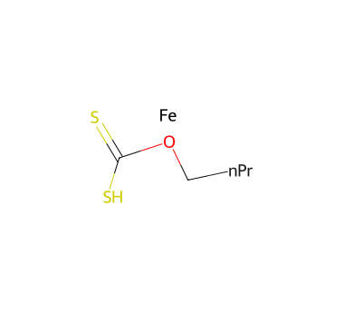 CCCCOC(=S)S.[Fe]